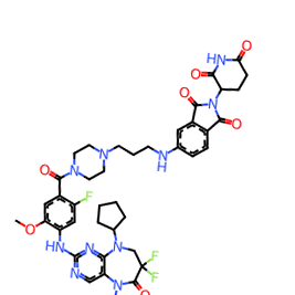 COc1cc(C(=O)N2CCN(CCCNc3ccc4c(c3)C(=O)N(C3CCC(=O)NC3=O)C4=O)CC2)c(F)cc1Nc1ncc2c(n1)N(C1CCCC1)CC(F)(F)C(=O)N2C